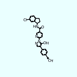 C#Cc1ccc(-c2cnn(-c3ccc(C(=O)NC4CCc5ccc(Cl)cc54)cn3)c2O)cc1